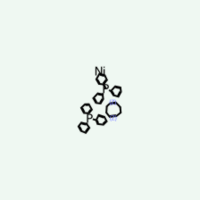 C1=C\CC/C=C\CC/1.[Ni].c1ccc(P(c2ccccc2)c2ccccc2)cc1.c1ccc(P(c2ccccc2)c2ccccc2)cc1